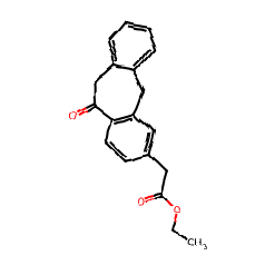 CCOC(=O)Cc1ccc2c(c1)Cc1ccccc1CC2=O